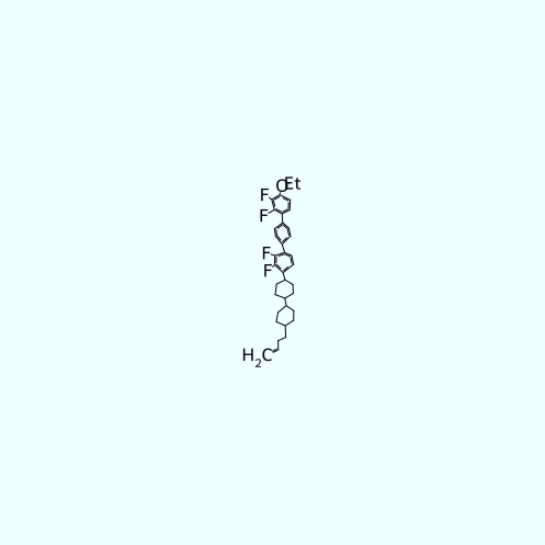 C=CCCC1CCC(C2CCC(c3ccc(-c4ccc(-c5ccc(OCC)c(F)c5F)cc4)c(F)c3F)CC2)CC1